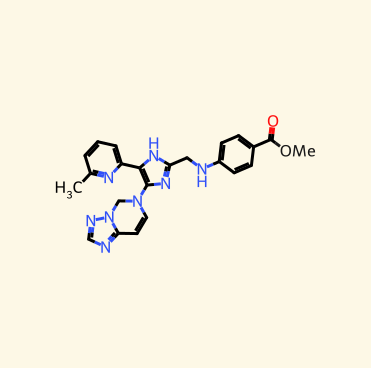 COC(=O)c1ccc(NCc2nc(N3C=Cc4ncnn4C3)c(-c3cccc(C)n3)[nH]2)cc1